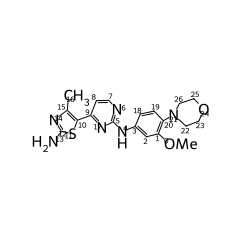 COc1cc(Nc2nccc(-c3sc(N)nc3C)n2)ccc1N1CCOCC1